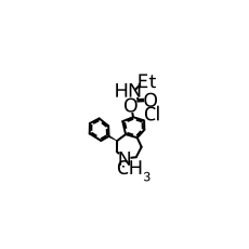 CCNC(=O)Oc1cc2c(cc1Cl)CCN(C)C[C@H]2c1ccccc1